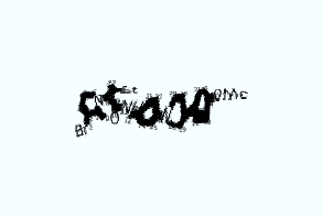 C=C1C(Br)=CC=CN1/C(C(=O)NCc1ccc(N2CCC(c3ccc(OC)cc3)CC2)cc1)=C(\C)CC